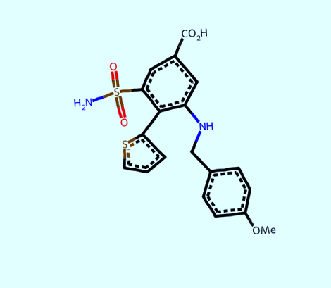 COc1ccc(CNc2cc(C(=O)O)cc(S(N)(=O)=O)c2-c2cccs2)cc1